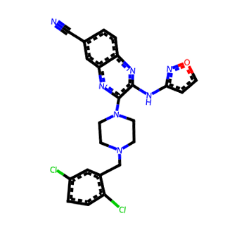 N#Cc1ccc2nc(Nc3ccon3)c(N3CCN(Cc4cc(Cl)ccc4Cl)CC3)nc2c1